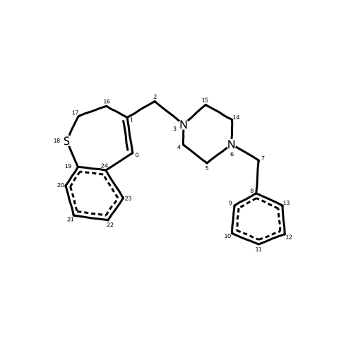 C1=C(CN2CCN(Cc3ccccc3)CC2)CCSc2ccccc21